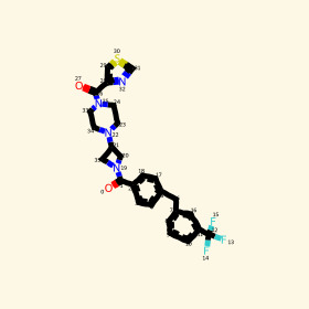 O=C(c1ccc(Cc2cccc(C(F)(F)F)c2)cc1)N1CC(N2CCN(C(=O)c3cscn3)CC2)C1